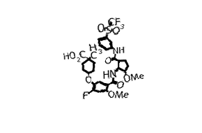 COc1cc(F)c(O[C@H]2CC[C@@](C)(C(=O)O)CC2)cc1C(=O)NC1C(C(=O)Nc2cccc(S(=O)(=O)C(F)(F)F)c2)CC[C@H]1OC